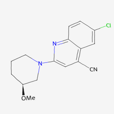 CO[C@H]1CCCN(c2cc(C#N)c3cc(Cl)ccc3n2)C1